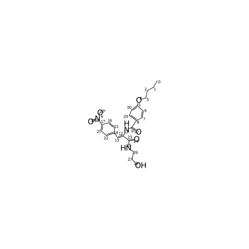 CCCCOc1ccc(C(=O)N/C(=C\c2ccc([N+](=O)[O-])cc2)C(=O)NCCO)cc1